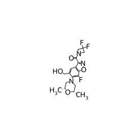 C[C@@H]1CN(c2c(CO)cc3c(C(=O)N4CC(F)(F)C4)noc3c2F)C[C@H](C)O1